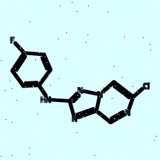 Fc1ccc(Nc2nc3cnc(Cl)cn3n2)cc1